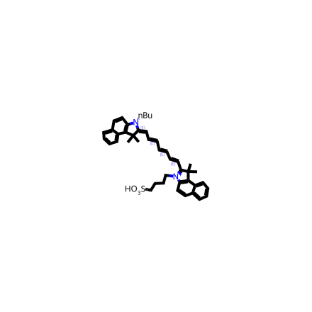 CCCCN1/C(=C/C=C/C=C/C=C/C2=[N+](CCCCS(=O)(=O)O)c3ccc4ccccc4c3C2(C)C)C(C)(C)c2c1ccc1ccccc21